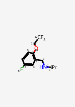 CC(C)NCc1cc(F)ccc1OCC(F)(F)F